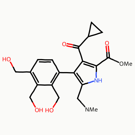 CNCc1[nH]c(C(=O)OC)c(C(=O)C2CC2)c1-c1ccc(CO)c(CO)c1CO